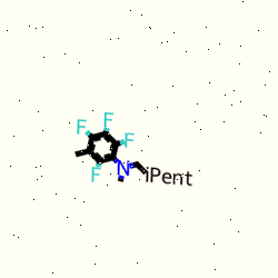 CCCC(C)CN(C)c1c(F)c(C)c(F)c(F)c1F